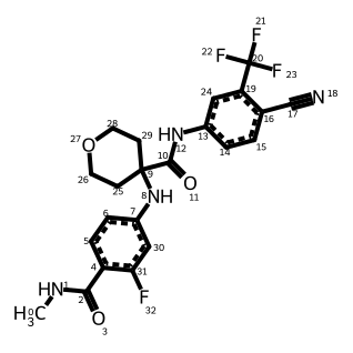 CNC(=O)c1ccc(NC2(C(=O)Nc3ccc(C#N)c(C(F)(F)F)c3)CCOCC2)cc1F